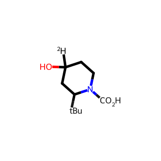 [2H]C1(O)CCN(C(=O)O)C(C(C)(C)C)C1